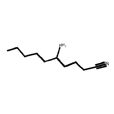 CCCCCC(N)CCCC#N